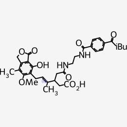 CCC(C)C(=O)c1ccc(C(=O)NCCNC(=O)CC(CC(=O)O)/C(C)=C/Cc2c(O)c3c(c(C)c2OC)COC3=O)cc1